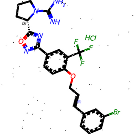 Cl.N=C(N)N1CCC[C@H]1c1nc(-c2ccc(OC/C=C/c3cccc(Br)c3)c(C(F)(F)F)c2)no1